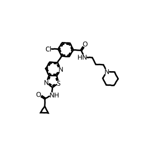 O=C(NCCCN1CCCCC1)c1ccc(Cl)c(-c2ccc3nc(NC(=O)C4CC4)sc3n2)c1